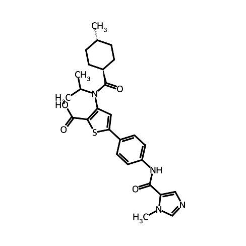 CC(C)N(c1cc(-c2ccc(NC(=O)c3cncn3C)cc2)sc1C(=O)O)C(=O)[C@H]1CC[C@H](C)CC1